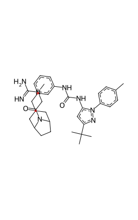 Cc1ccc(-n2nc(C(C)(C)C)cc2NC(=O)Nc2cccc(CC3CC4CCC(C3)N4C(=O)CN(C)C(=N)N)c2)cc1